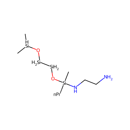 CCC[Si](C)(NCCN)O[SiH2][SiH2]O[SiH](C)C